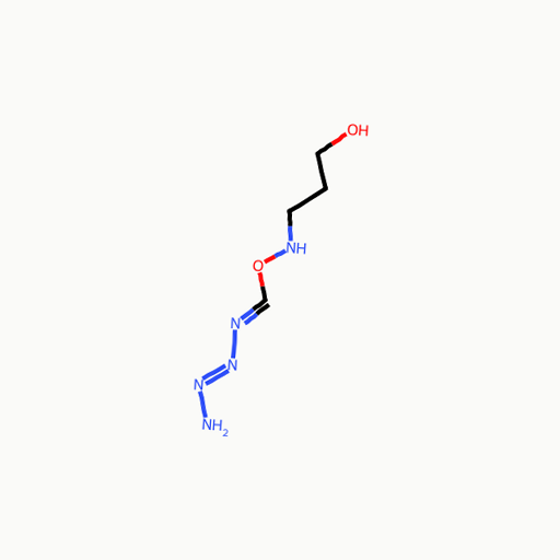 N/N=N/N=C/ONCCCO